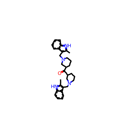 Cc1[nH]c2ccccc2c1CN1CCCC(C(=O)C2CCCN(Cc3c(C)[nH]c4ccccc34)C2)C1